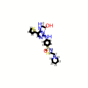 C[C@H](CO)Nc1nc(Nc2ccc(/[SH](=O)=N/CCN3CCCCC3)cc2)ncc1-c1cccs1